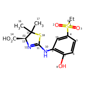 CCS(=O)(=O)c1ccc(O)c(NC2=N[C@@H](C(=O)O)C(C)(C)S2)c1